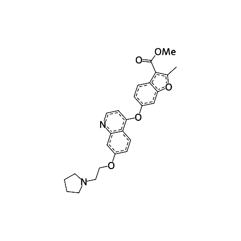 COC(=O)c1c(C)oc2cc(Oc3ccnc4cc(OCCN5CCCC5)ccc34)ccc12